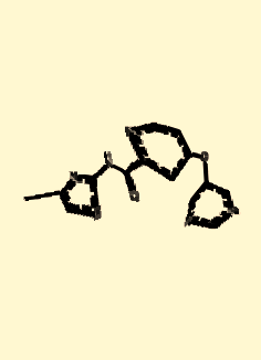 Cc1csc(NC(=O)c2cc(Oc3cncnc3)ccn2)n1